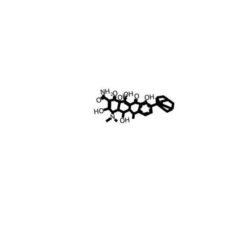 CC1c2ccc(C3C4CC5CC(C4)CC3C5)c(O)c2C(=O)C2=C(O)C3(O)C(=O)C(C(N)=O)=C(O)C(N(C)C)C3C(O)C21